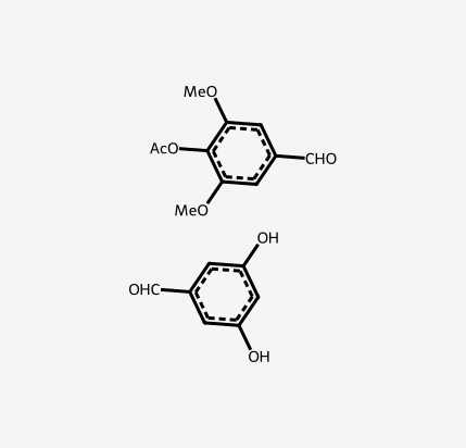 COc1cc(C=O)cc(OC)c1OC(C)=O.O=Cc1cc(O)cc(O)c1